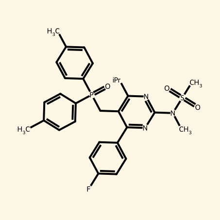 Cc1ccc(P(=O)(Cc2c(-c3ccc(F)cc3)nc(N(C)S(C)(=O)=O)nc2C(C)C)c2ccc(C)cc2)cc1